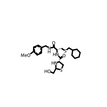 COc1ccc(CNC(=O)[C@H](CSCC2CCCCC2)NC(=O)[C@@H]2CSC(CO)N2)cc1